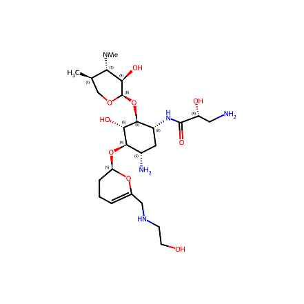 CN[C@@H]1[C@@H](O)[C@@H](O[C@@H]2[C@@H](O)[C@H](O[C@@H]3CCC=C(CNCCO)O3)[C@@H](N)C[C@H]2NC(=O)[C@H](O)CN)OC[C@H]1C